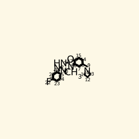 Cn1c(Nc2nc3cc(CN4CCC4)ccc3o2)nc2cc(F)ccc21